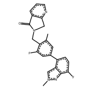 Cc1cc(-c2ccc(F)c3nn(C)cc23)cc(F)c1CN1Cc2ncccc2C1=O